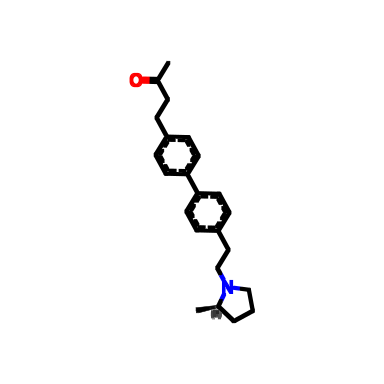 CC(=O)CCc1ccc(-c2ccc(CCN3CCC[C@H]3C)cc2)cc1